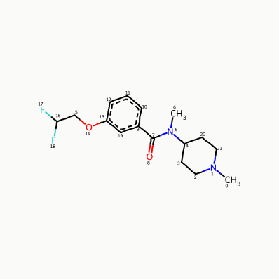 CN1CCC(N(C)C(=O)c2cccc(OCC(F)F)c2)CC1